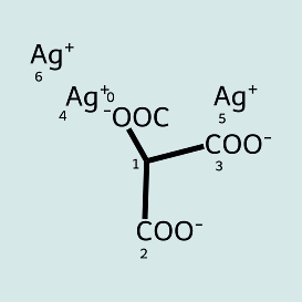 O=C([O-])C(C(=O)[O-])C(=O)[O-].[Ag+].[Ag+].[Ag+]